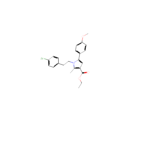 CCOC(=O)c1cc(-c2ccc(OC)cc2)n(CCc2ccc(Br)cc2)c1C